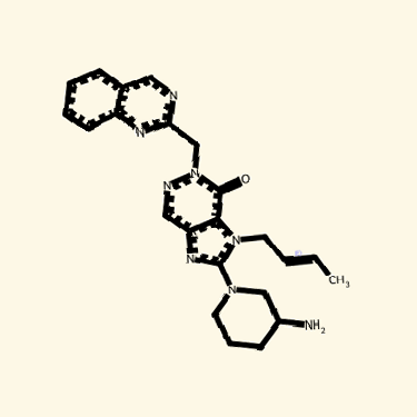 C/C=C/Cn1c(N2CCCC(N)C2)nc2cnn(Cc3ncc4ccccc4n3)c(=O)c21